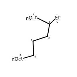 [CH2]CC(CCCCCCCC)CCCCCCCCCCC